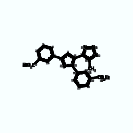 CCOC(=O)c1cccc(-c2cc(-c3nnnn3C)c(-c3cccc(C(=O)OCC)c3)s2)c1